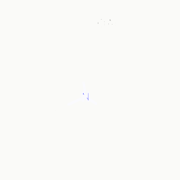 C=CCN(CC=C)CCOC(C)=O